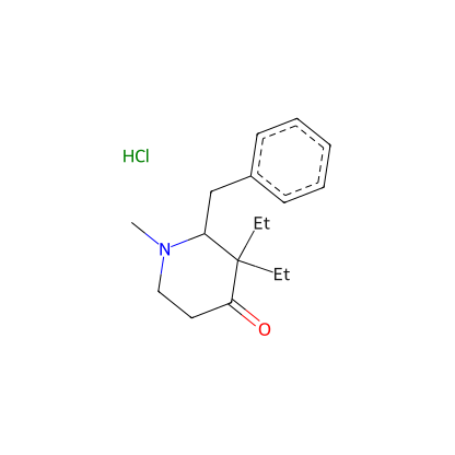 CCC1(CC)C(=O)CCN(C)C1Cc1ccccc1.Cl